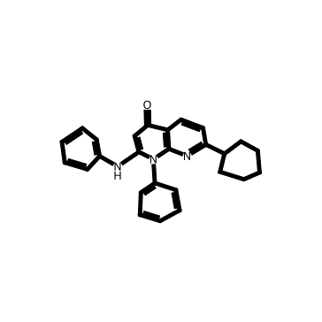 O=c1cc(Nc2ccccc2)n(-c2ccccc2)c2nc(C3CCCCC3)ccc12